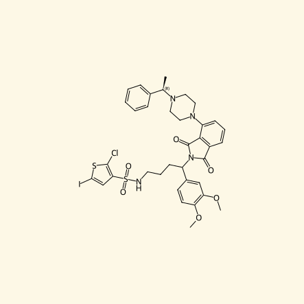 COc1ccc(C(CCCNS(=O)(=O)c2cc(I)sc2Cl)N2C(=O)c3cccc(N4CCN([C@H](C)c5ccccc5)CC4)c3C2=O)cc1OC